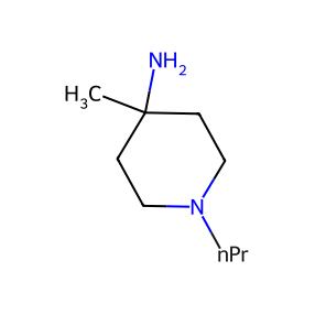 CCCN1CCC(C)(N)CC1